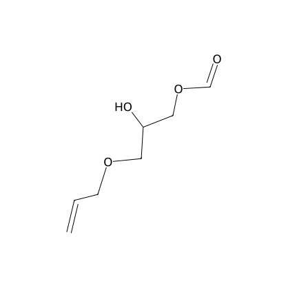 C=CCOCC(O)COC=O